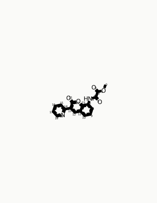 COC(=O)C(=O)Nc1cccc2cc(-c3ccccn3)c(=O)oc12